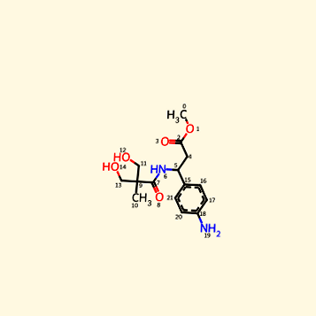 COC(=O)CC(NC(=O)C(C)(CO)CO)c1ccc(N)cc1